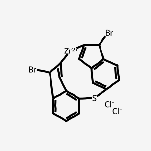 BrC1[C]2=Cc3cc(ccc31)Sc1cccc3c1C=[C]([Zr+2]2)C3Br.[Cl-].[Cl-]